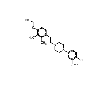 COc1cc(N2CCN(CCc3ccc(OCC#N)c(C)c3C)CC2)ccc1Cl